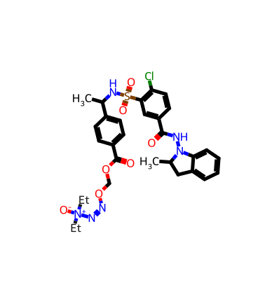 CC[N+]([O-])(CC)/N=N\OCOC(=O)c1ccc(C(C)NS(=O)(=O)c2cc(C(=O)NN3c4ccccc4CC3C)ccc2Cl)cc1